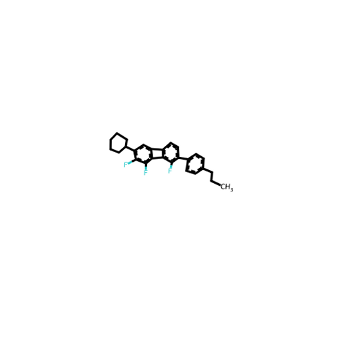 CCCc1ccc(-c2ccc3c(c2F)-c2c-3cc(C3CCCCC3)c(F)c2F)cc1